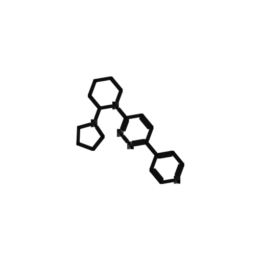 c1cc(-c2ccc(N3CCCCC3N3CCCC3)nn2)ccn1